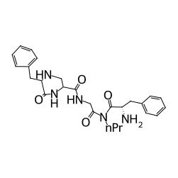 CCCN(C(=O)CNC(=O)C1CNC(Cc2ccccc2)C(=O)N1)C(=O)[C@@H](N)Cc1ccccc1